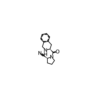 N#C[C@@H]1CCCN1C(=O)[C@@H]1Cc2ccccc2CN1